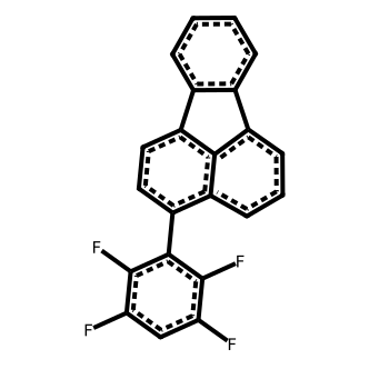 Fc1cc(F)c(F)c(-c2ccc3c4c(cccc24)-c2ccccc2-3)c1F